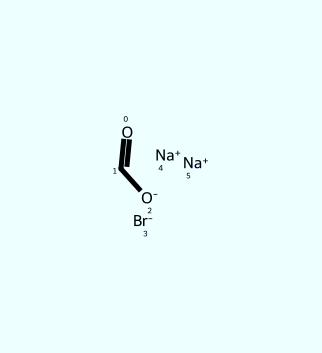 O=C[O-].[Br-].[Na+].[Na+]